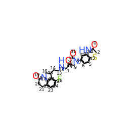 O=C1CSc2ccc(N3C[C@@H](CNCCC4CN5C(=O)CCc6ccc(F)c4c65)OC3=O)cc2N1